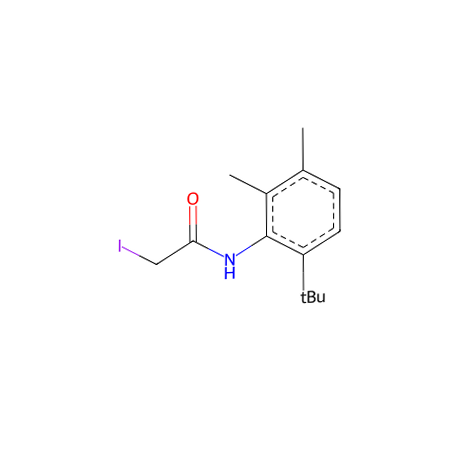 Cc1ccc(C(C)(C)C)c(NC(=O)CI)c1C